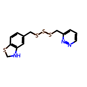 c1cnnc(CSSSCc2ccc3c(c2)NCS3)c1